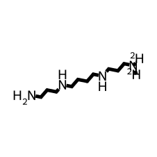 [2H]N([2H])CCCNCCCCNCCCN